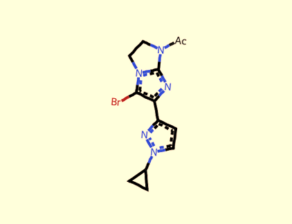 CC(=O)N1CCn2c1nc(-c1ccn(C3CC3)n1)c2Br